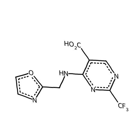 O=C(O)c1cnc(C(F)(F)F)nc1NCc1ncco1